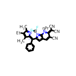 CCCN1C(=C(C#N)C#N)C(C#N)=Cc2cc(/C(=C3\N=C(C)C(CC)=C3C)c3ccccc3)n(B(F)F)c21